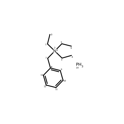 CC[N+](CC)(CC)Cc1ccccc1.P